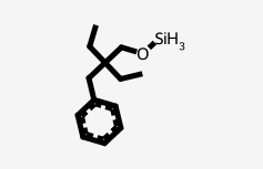 CCC(CC)(CO[SiH3])Cc1ccccc1